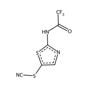 N#CSc1cnc(NC(=O)C(F)(F)F)s1